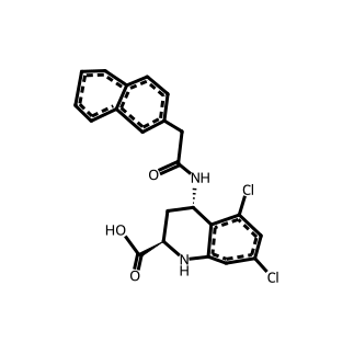 O=C(Cc1ccc2ccccc2c1)N[C@H]1C[C@H](C(=O)O)Nc2cc(Cl)cc(Cl)c21